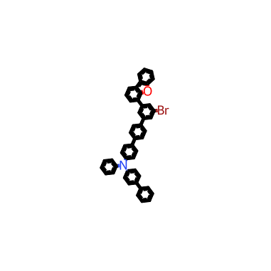 Brc1cc(-c2ccc(-c3ccc(N(c4ccccc4)c4ccc(-c5ccccc5)cc4)cc3)cc2)cc(-c2cccc3c2oc2ccccc23)c1